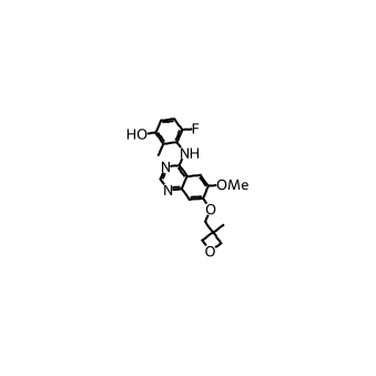 COc1cc2c(Nc3c(F)ccc(O)c3C)ncnc2cc1OCC1(C)COC1